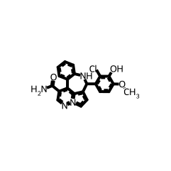 COc1ccc(C2Nc3ccccc3-c3c(C(N)=O)cnn4ccc2c34)c(Cl)c1O